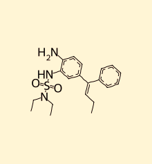 CC/C=C(\c1ccccc1)c1ccc(N)c(NS(=O)(=O)N(CC)CC)c1